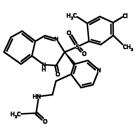 CC(=O)NCCc1ccncc1[C@]1(S(=O)(=O)c2cc(C)c(Cl)cc2C)N=Cc2ccccc2NC1=O